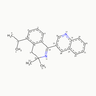 CC(C)c1cccc2c1CC(C)(C)N=C2c1cnc2ccccc2c1